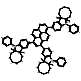 CC12CCCCCCC1(C)N(c1ccccc1)c1ccc(-c3ccc4ccc5c(-c6ccc7c(c6)C6(C)CCCCCCC6(C)N7c6ccccc6)cc(-c6ccc7c(c6)C6(C)CCCCCCC6(C)N7c6ccccc6)c6ccc3c4c56)cc12